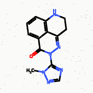 Cn1ncnc1-n1nc2c3c(cccc3c1=O)NCC2